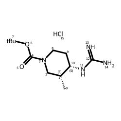 C[C@@H]1CN(C(=O)OC(C)(C)C)CC[C@@H]1NC(=N)N.Cl